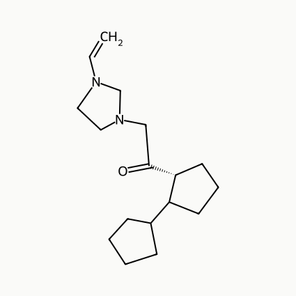 C=CN1CCN(CC(=O)[C@@H]2CCCC2C2CCCC2)C1